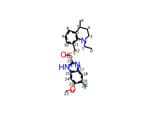 CCN1CCC(C)c2cccc(C[S+]([O-])c3nc4cc(F)c(OC)cc4[nH]3)c21